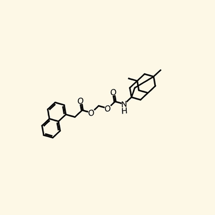 CC12CC3CC(C)(C1)CC(NC(=O)OCOC(=O)Cc1cccc4ccccc14)(C3)C2